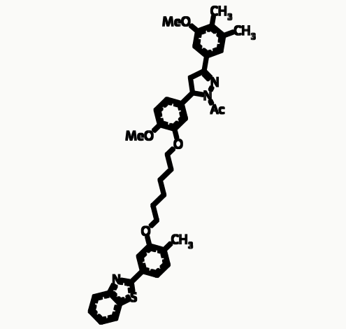 COc1ccc(C2CC(c3cc(C)c(C)c(OC)c3)=NN2C(C)=O)cc1OCCCCCCOc1cc(-c2nc3ccccc3s2)ccc1C